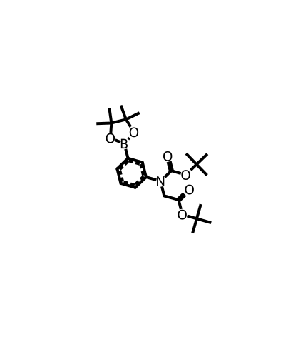 CC(C)(C)OC(=O)CN(C(=O)OC(C)(C)C)c1cccc(B2OC(C)(C)C(C)(C)O2)c1